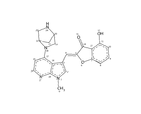 Cn1cc(/C=C2\Oc3cccc(O)c3C2=O)c2c(N3CC4CC3CN4)ccnc21